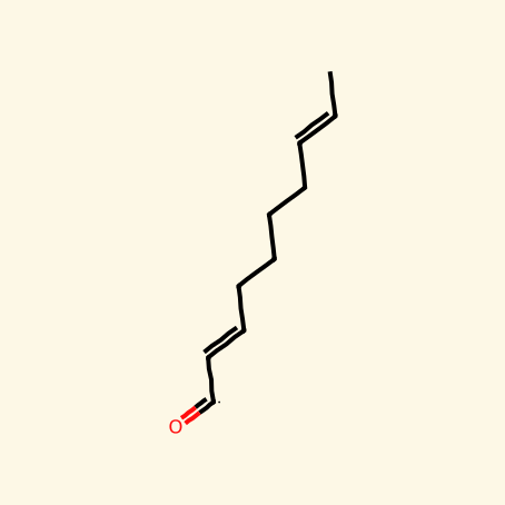 CC=CCCCCC=C[C]=O